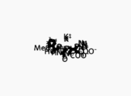 COc1ccccc1C(O)C(=O)NC1C(=O)N2C(C(=O)[O-])=C(C(CC(=O)[O-])Sc3nnn[nH]3)CS[C@@H]12.[K+].[K+]